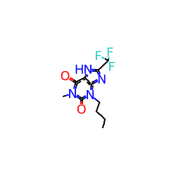 CCCCn1c(=O)n(C)c(=O)c2[nH]c(C(F)(F)F)nc21